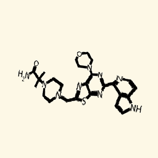 CC(C)(C(N)=O)N1CCN(Cc2nc3c(N4CCOCC4)nc(-c4nccc5[nH]ccc45)nc3s2)CC1